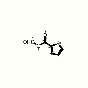 O=COC(=O)c1cccs1